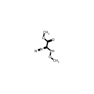 COPC(=[N+]=[N-])C(=O)OC